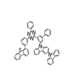 c1ccc(-c2cc(-c3nc(-c4ccccc4)nc(-c4cccc(-c5cccc6c5sc5ccccc56)c4)n3)cc(-n3c4ccccc4c4cc(-n5c6ccccc6c6ccccc65)ccc43)c2)cc1